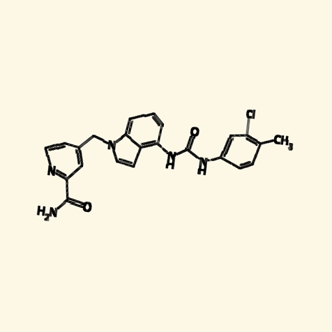 Cc1ccc(NC(=O)Nc2cccc3c2ccn3Cc2ccnc(C(N)=O)c2)cc1Cl